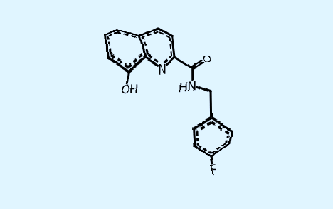 O=C(NCc1ccc(F)cc1)c1ccc2cccc(O)c2n1